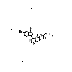 C=CC(=O)Nc1ccc2ncnc(C3CNc4cc(Br)ccc43)c2c1